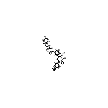 CN1C(=O)C(c2ccc(Br)cc2)Cc2c1n(C)c1ccc(C(=O)CC(=O)COC3CCCCO3)cc21